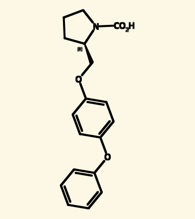 O=C(O)N1CCC[C@@H]1COc1ccc(Oc2ccccc2)cc1